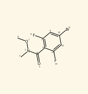 CON(C)C(=O)c1c(F)cc(Br)cc1F